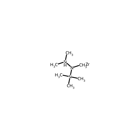 CN([SiH](C)C)[Si](C)(C)C.[Zr]